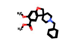 COC(=O)c1cc2c(cc1OC)OCC21CCN(Cc2ccccc2)CC1